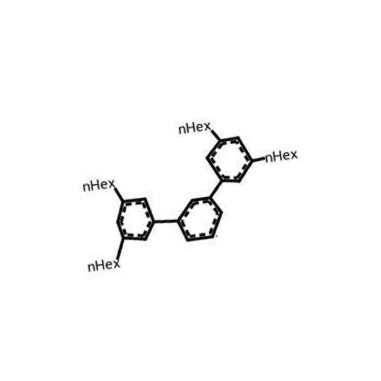 CCCCCCc1cc(CCCCCC)cc(-c2c[c]cc(-c3cc(CCCCCC)cc(CCCCCC)c3)c2)c1